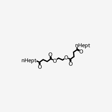 CCCCCCCC(=O)CCC(=O)OCCOC(=O)CCC(=O)CCCCCCC